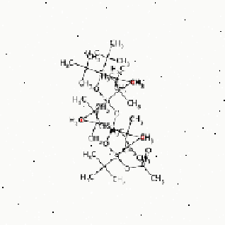 CC(=O)O[Si](O[Si](O[Si](O[Si](C(C)(C)C)(C(C)(C)C)C(C)(C)C)(C(C)(C)C)C(C)(C)C)(C(C)(C)C)C(C)(C)C)(C(C)(C)C)C(C)(C)C